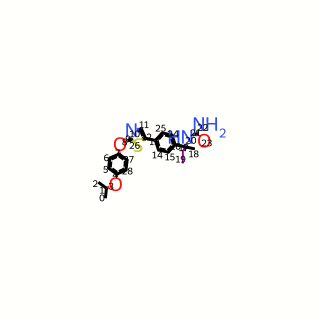 CC(C)Oc1ccc(Oc2ncc(-c3ccc(C(C)(I)NC(N)=O)cc3)s2)cc1